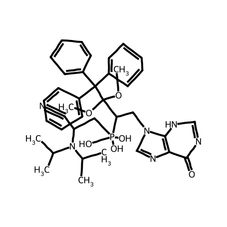 COC(OC)(C(Cn1cnc2c(=O)nc[nH]c21)P(O)(O)(O)CC(C#N)N(C(C)C)C(C)C)C(c1ccccc1)(c1ccccc1)c1ccccc1